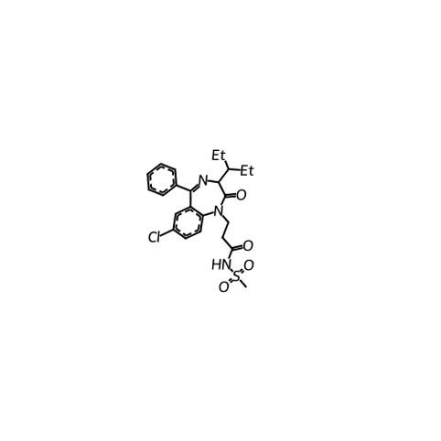 CCC(CC)C1N=C(c2ccccc2)c2cc(Cl)ccc2N(CCC(=O)NS(C)(=O)=O)C1=O